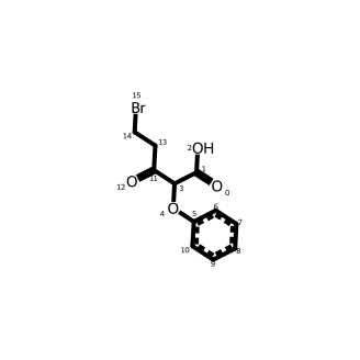 O=C(O)C(Oc1ccccc1)C(=O)CCBr